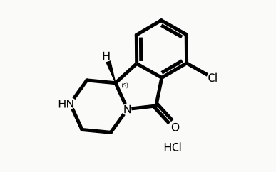 Cl.O=C1c2c(Cl)cccc2[C@H]2CNCCN12